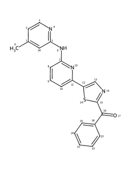 Cc1ccnc(Nc2cccc(-c3cnc(C(=O)c4ccccc4)s3)n2)c1